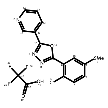 CSc1ccc(Cl)c(-c2nnc(-c3cccnc3)o2)c1.O=C(O)C(F)(F)F